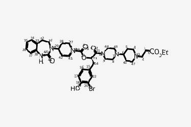 CCOC(=O)CCN1CCC(N2CCN(C(=O)[C@@H](Cc3ccc(O)c(Br)c3)OC(=O)N3CCC(N4CCc5ccccc5NC4=O)CC3)CC2)CC1